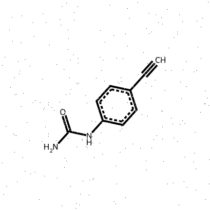 C#Cc1ccc(NC(N)=O)cc1